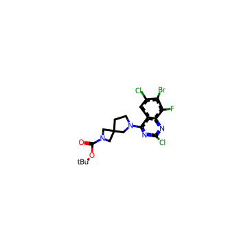 CC(C)(C)OC(=O)N1CC2(CCN(c3nc(Cl)nc4c(F)c(Br)c(Cl)cc34)C2)C1